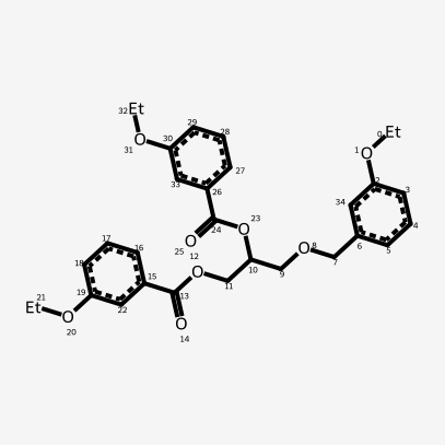 CCOc1cccc(COCC(COC(=O)c2cccc(OCC)c2)OC(=O)c2cccc(OCC)c2)c1